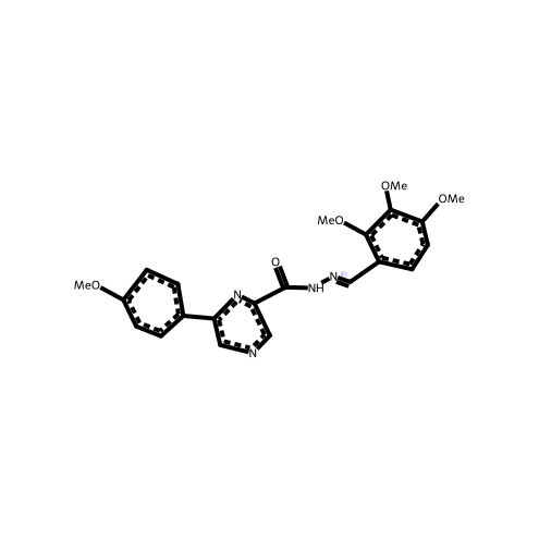 COc1ccc(-c2cncc(C(=O)N/N=C/c3ccc(OC)c(OC)c3OC)n2)cc1